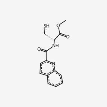 COC(=O)[C@@H](CS)NC(=O)c1ccc2ccccc2n1